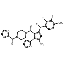 Cc1ccc(C(F)n2cc(C)c(-c3ccco3)c2C(=O)N2CCN(C(=O)c3ccco3)CC2)c(F)c1F